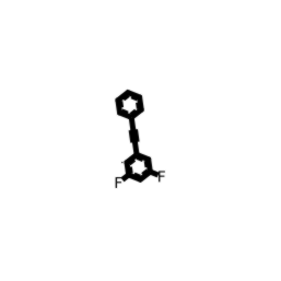 Fc1[c]c(C#Cc2ccccc2)cc(F)c1